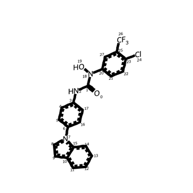 O=C(Nc1ccc(-n2ccc3c[c]ccc32)cc1)N(O)c1ccc(Cl)c(C(F)(F)F)c1